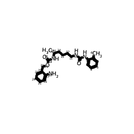 Cc1ccccc1NC(=O)NCCCC[C@@H](C)NC(=O)OCc1ccccc1N